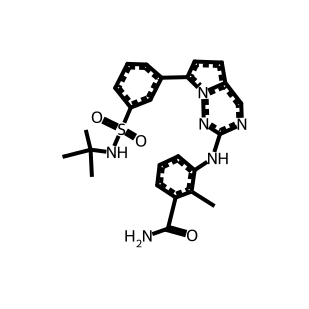 Cc1c(Nc2ncc3ccc(-c4cccc(S(=O)(=O)NC(C)(C)C)c4)n3n2)cccc1C(N)=O